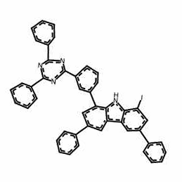 Ic1cc(-c2ccccc2)cc2c1[nH]c1c(-c3cccc(-c4nc(-c5ccccc5)nc(-c5ccccc5)n4)c3)cc(-c3ccccc3)cc12